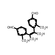 O=Cc1ccc(C(C(=O)O)=C(C(=O)O)c2ccc(C=O)cc2C(=O)O)c(C(=O)O)c1